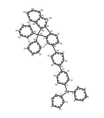 c1ccc(N(c2ccccc2)c2ccc(-c3ccc(-c4ccc5c(c4)C(c4ccccc4)(c4ccccc4)c4c-5sc5ccccc45)cc3)cc2)cc1